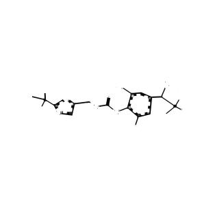 NC(c1cc(Cl)c(NC(=O)NCc2cnc(C(F)(F)F)s2)c(Cl)c1)C(F)(F)F